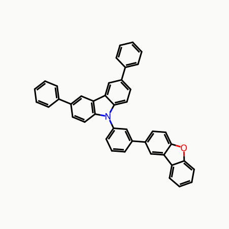 c1ccc(-c2ccc3c(c2)c2cc(-c4ccccc4)ccc2n3-c2cccc(-c3ccc4oc5ccccc5c4c3)c2)cc1